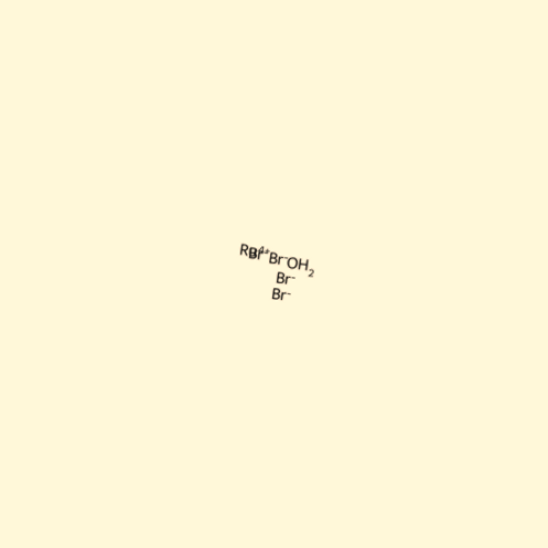 O.[Br-].[Br-].[Br-].[Br-].[Ru+4]